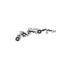 Cc1cc(N(C)c2nc(C(=O)O)c(CCCOc3ccc(C#CCNCCCO)cc3F)s2)nnc1Nc1nc2ccccc2s1